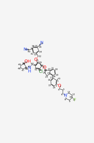 Cc1c(OCCCN2CCC(F)CC2)cccc1-c1cccc2c1CC[C@@H]2Oc1cc(OCc2cc(C#N)cc(C#N)c2)c(CN[C@@H]2CCC[C@H]2O)cc1Cl